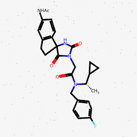 CC(=O)Nc1ccc2c(c1)CCC21NC(=O)N(CC(=O)N(Cc2ccc(F)cc2)[C@@H](C)C2CC2)C1=O